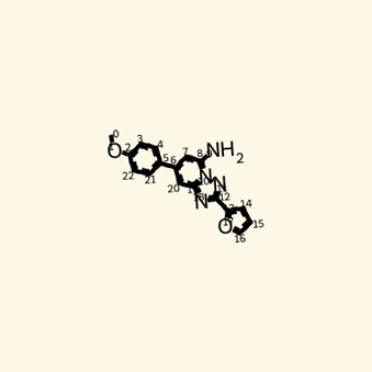 COc1ccc(-c2cc(N)n3nc(-c4ccco4)nc3c2)cc1